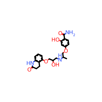 CC(COc1ccc(C(N)=O)c(O)c1)NCC(O)COc1cccc2c1CCC(=O)N2